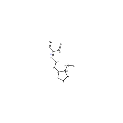 C=C/C(=C/SCC1CCCN1NC)N=C